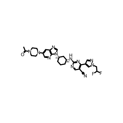 CC(=O)N1CCN(c2cnc3c(c2)ncn3[C@H]2CCC[C@@H](Nc3ncc(C#N)c(-c4cnn(CC(F)F)c4)n3)C2)CC1